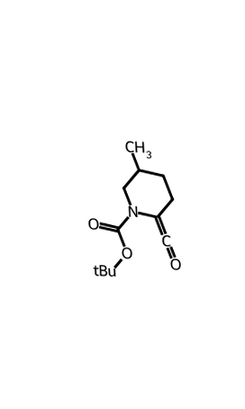 CC1CCC(=C=O)N(C(=O)OC(C)(C)C)C1